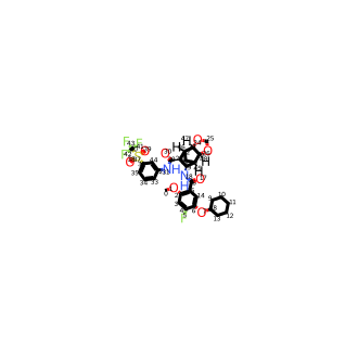 COc1cc(F)c(OC2CCCCC2)cc1C(=O)N[C@@H]1[C@@H]2C[C@@H]([C@H]3OCO[C@@H]23)[C@@H]1C(=O)Nc1cccc(S(=O)(=O)C(F)(F)F)c1